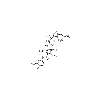 Cc1cc(NC(=O)c2c(C)c(C(=O)C(=O)NC(C)(C)c3noc(CN(C)C)n3)n(C)c2C)ccc1F